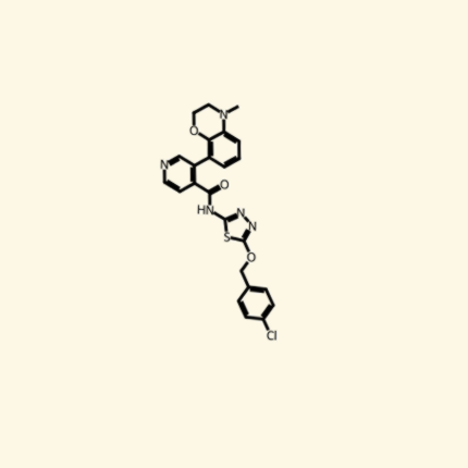 CN1CCOc2c(-c3cnccc3C(=O)Nc3nnc(OCc4ccc(Cl)cc4)s3)cccc21